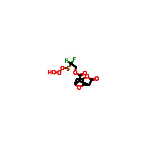 O=C(OCC(F)(F)SOOO)C1C2CC3OC(=O)C1C3O2